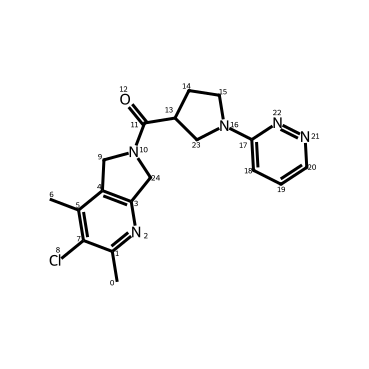 Cc1nc2c(c(C)c1Cl)CN(C(=O)C1CCN(c3cccnn3)C1)C2